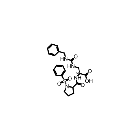 O=C(NCc1ccccc1)NC[C@H](NC(=O)C1CCCN1S(=O)(=O)c1ccccc1)C(=O)O